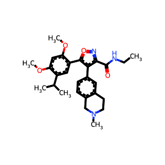 CCNC(=O)c1noc(-c2cc(C(C)C)c(OC)cc2OC)c1-c1ccc2c(c1)CCN(C)C2